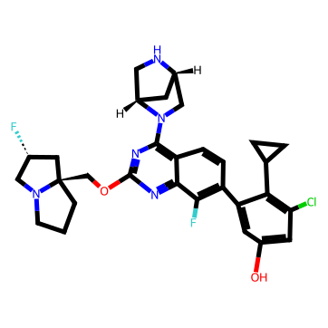 Oc1cc(Cl)c(C2CC2)c(-c2ccc3c(N4C[C@@H]5C[C@H]4CN5)nc(OC[C@@]45CCCN4C[C@H](F)C5)nc3c2F)c1